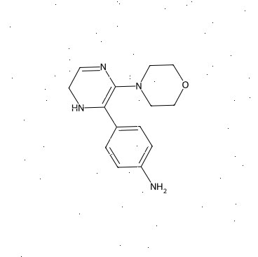 Nc1ccc(C2=C(N3CCOCC3)N=CCN2)cc1